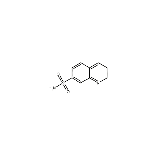 NS(=O)(=O)c1ccc2c(c1)=NCCC=2